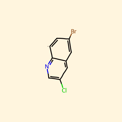 Clc1cnc2[c]cc(Br)cc2c1